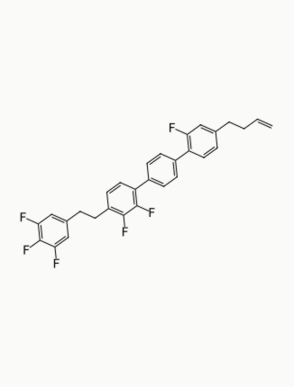 C=CCCc1ccc(-c2ccc(-c3ccc(CCc4cc(F)c(F)c(F)c4)c(F)c3F)cc2)c(F)c1